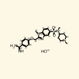 CN1CCC(N(C)S(=O)(=O)c2ccc3c(c2)nc(COc2ccc(C(=N)N)cc2)n3C)CC1.Cl